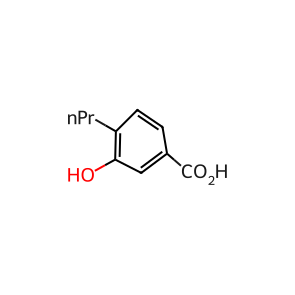 CCCc1ccc(C(=O)O)cc1O